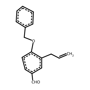 C=CCc1cc(C=O)ccc1OCc1ccccc1